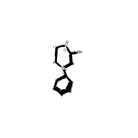 BrC1CN(c2ccccc2)CCN1